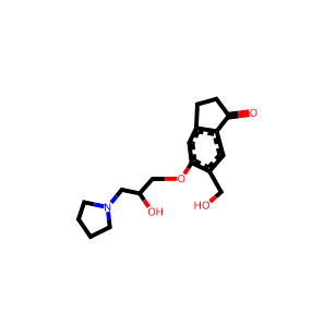 O=C1CCc2cc(OCC(O)CN3CCCC3)c(CO)cc21